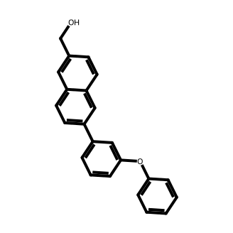 OCc1ccc2cc(-c3cccc(Oc4ccccc4)c3)ccc2c1